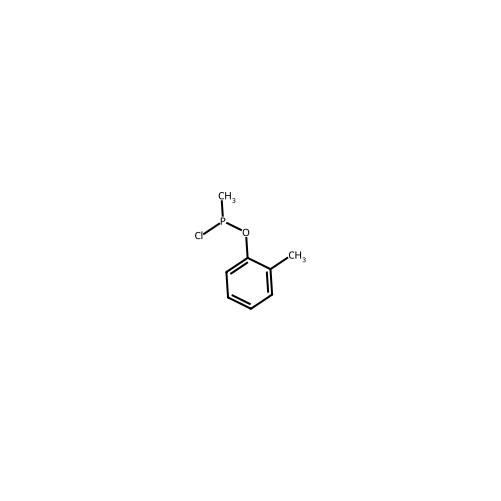 Cc1ccccc1OP(C)Cl